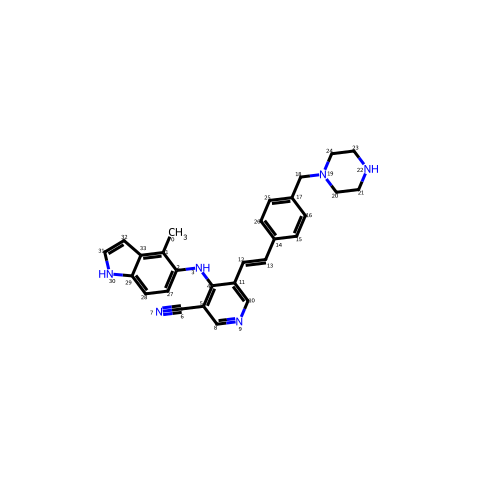 Cc1c(Nc2c(C#N)cncc2C=Cc2ccc(CN3CCNCC3)cc2)ccc2[nH]ccc12